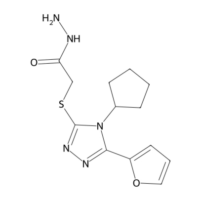 NNC(=O)CSc1nnc(-c2ccco2)n1C1CCCC1